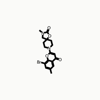 Cc1cc(Br)c2oc(N3CCC4(CC3)CN(C)C(=O)O4)cc(=O)c2c1